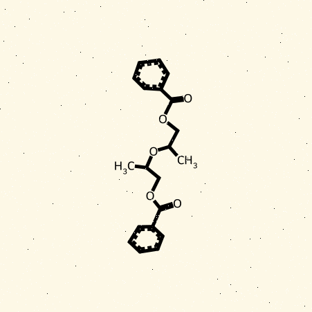 CC(COC(=O)c1ccccc1)OC(C)COC(=O)c1ccccc1